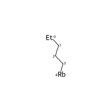 CCCC[CH2][Rb]